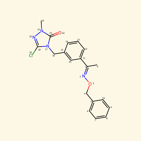 C/C(=N\OCc1ccccc1)c1cccc(Cn2c(Cl)nn(C)c2=O)c1